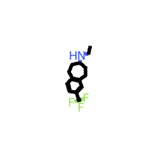 CCNC1CCc2ccc(C(F)(F)F)cc2CC1